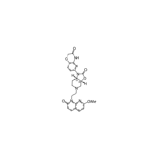 COc1ccc2ccc(=O)n(CCN3CC[C@H]4[C@@H](C3)OC(=O)N4c3ccc4c(n3)NC(=O)CO4)c2n1